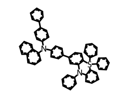 c1ccc(-c2ccc(N(c3ccc(-c4ccc5c(c4)N(c4ccccc4)c4ccccc4S5(c4ccccc4)c4ccccc4)cc3)c3cccc4ccccc34)cc2)cc1